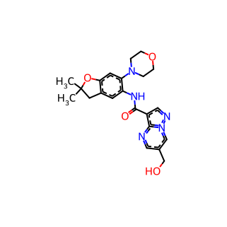 CC1(C)Cc2cc(NC(=O)c3cnn4cc(CO)cnc34)c(N3CCOCC3)cc2O1